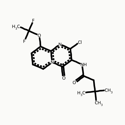 CC(C)(C)CC(=O)Nc1c(Cl)nc2c(OC(C)(F)F)cccn2c1=O